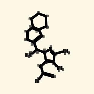 CCC(=O)Oc1c(C)c(C)nn1C(C)c1ccc2c(c1)CCCC2